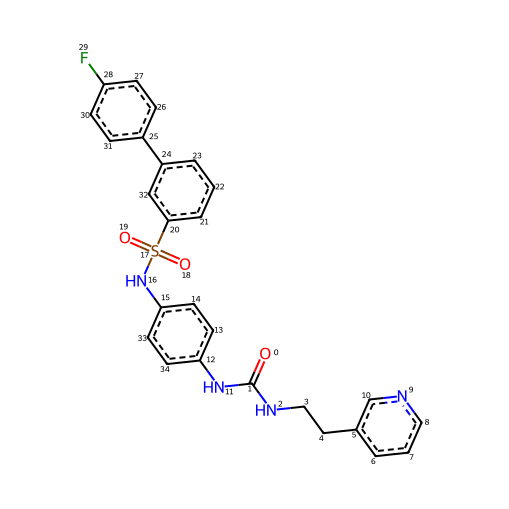 O=C(NCCc1cccnc1)Nc1ccc(NS(=O)(=O)c2cccc(-c3ccc(F)cc3)c2)cc1